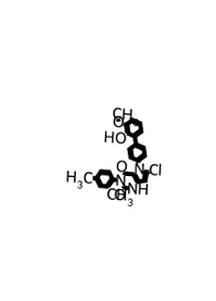 COc1cccc(-c2ccc(-n3c(Cl)cc4[nH]c(=O)n(-c5ccc(C)cc5C)c(=O)c43)cc2)c1O